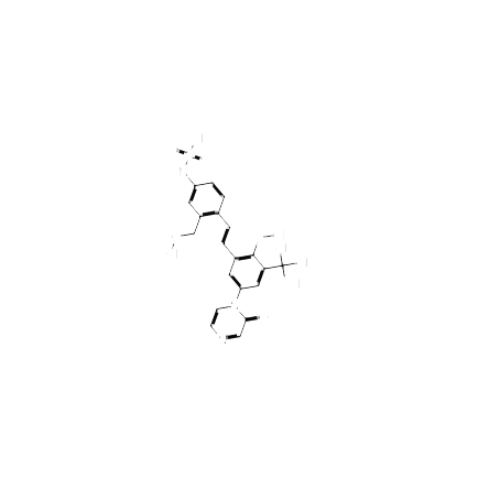 COCc1cc(NS(C)(=O)=O)ccc1C=Cc1cc(-n2ccncc2=O)cc(C(C)(C)C)c1OC